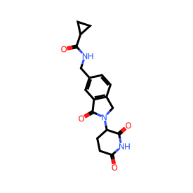 O=C1CCC(N2Cc3ccc(CNC(=O)C4CC4)cc3C2=O)C(=O)N1